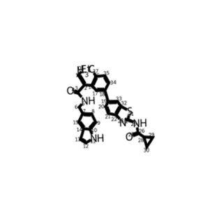 CC/C=C(/C(=O)NCc1ccc2[nH]ccc2c1)c1cc(-c2ccc3nc(NC(=O)C4CC4)sc3c2)ccc1C